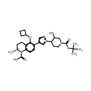 C[C@H]1CCc2c(ccc(-c3cnn(C4CCN(C(=O)OC(C)(C)C)CC4O)c3)c2OC2CCC2)N1C(=O)O